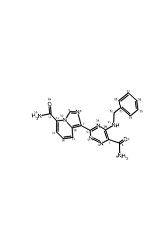 NC(=O)c1nnc(-c2ncn3c(C(N)=O)cccc23)nc1NCc1ccccc1